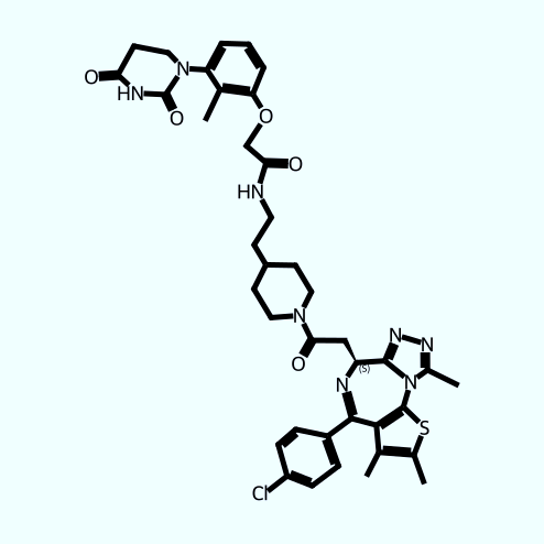 Cc1sc2c(c1C)C(c1ccc(Cl)cc1)=N[C@@H](CC(=O)N1CCC(CCNC(=O)COc3cccc(N4CCC(=O)NC4=O)c3C)CC1)c1nnc(C)n1-2